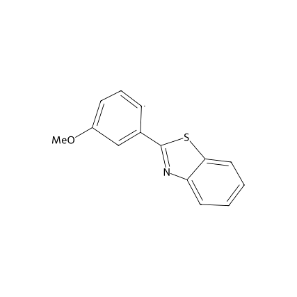 COc1cc[c]c(-c2nc3ccccc3s2)c1